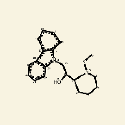 CSN1CCCCC1C(O)Cn1c2ccccc2c2ccccc21